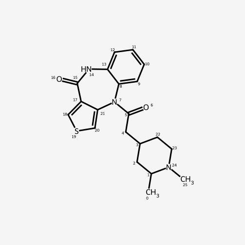 CC1CC(CC(=O)N2c3ccccc3NC(=O)c3cscc32)CCN1C